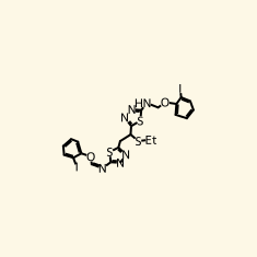 CCSC(Cc1nnc(/N=C\Oc2ccccc2I)s1)c1nnc(NCOc2ccccc2I)s1